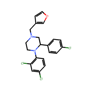 Clc1ccc(C2CN(Cc3ccoc3)CCN2c2ccc(Cl)cc2Cl)cc1